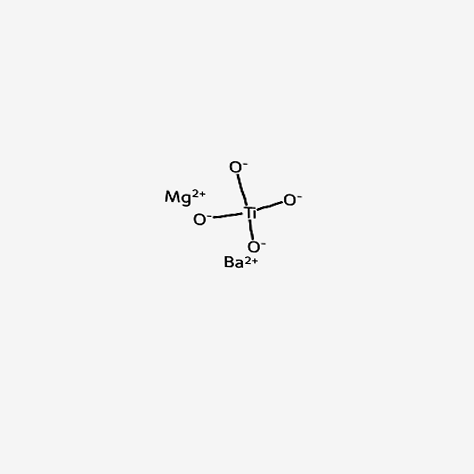 [Ba+2].[Mg+2].[O-][Ti]([O-])([O-])[O-]